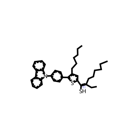 CCCCCC/C(CC)=C(/S)c1cc(CCCCCC)c(-c2ccc(-n3c4ccccc4c4ccccc43)cc2)s1